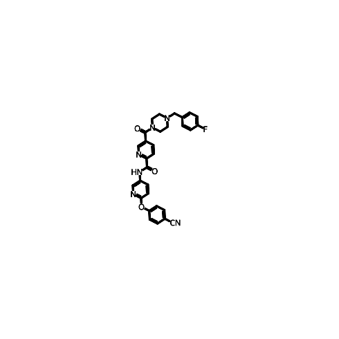 N#Cc1ccc(Oc2ccc(NC(=O)c3ccc(C(=O)N4CCN(Cc5ccc(F)cc5)CC4)cn3)cn2)cc1